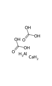 O=C(O)O.O=C(O)O.[AlH3].[CaH2]